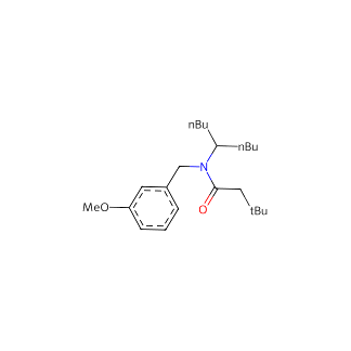 CCCCC(CCCC)N(Cc1cccc(OC)c1)C(=O)CC(C)(C)C